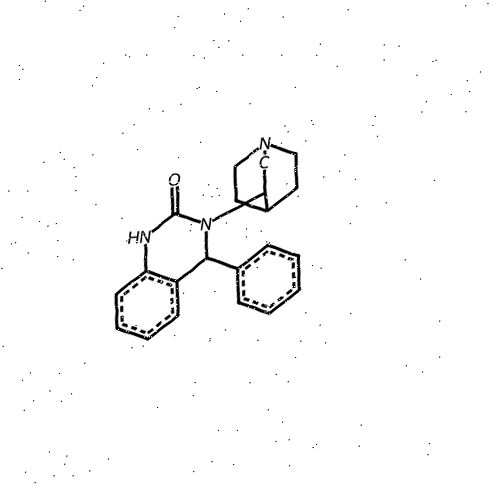 O=C1Nc2ccccc2C(c2ccccc2)N1C1CN2CCC1CC2